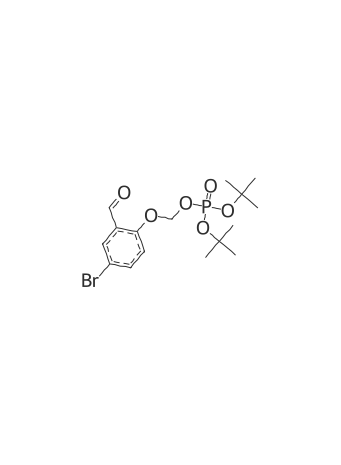 CC(C)(C)OP(=O)(OCOc1ccc(Br)cc1C=O)OC(C)(C)C